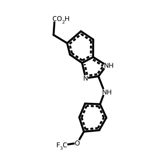 O=C(O)Cc1ccc2[nH]c(Nc3ccc(OC(F)(F)F)cc3)nc2c1